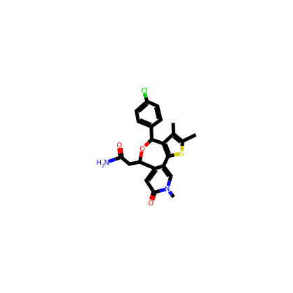 Cc1sc2c(c1C)C(c1ccc(Cl)cc1)OC(CC(N)=O)c1cc(=O)n(C)cc1-2